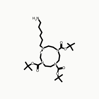 CC(C)(C)OC(=O)N1CCN(CCCCCCN)CCN(C(=O)OC(C)(C)C)CCN(C(=O)OC(C)(C)C)CC1